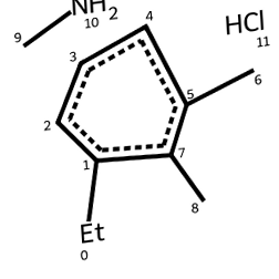 CCc1cccc(C)c1C.CN.Cl